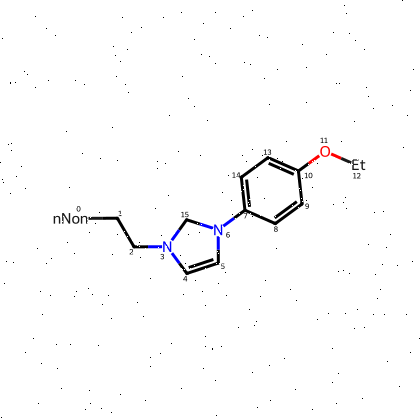 CCCCCCCCCCCN1C=CN(c2ccc(OCC)cc2)C1